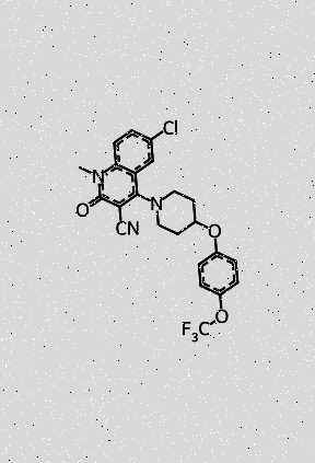 Cn1c(=O)c(C#N)c(N2CCC(Oc3ccc(OC(F)(F)F)cc3)CC2)c2cc(Cl)ccc21